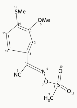 COc1cc(C(C#N)=NOS(C)(=O)=O)ccc1SC